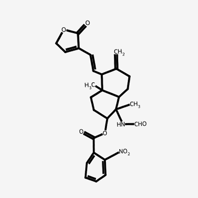 C=C1CCC2C(C)(CCC(OC(=O)c3ccccc3[N+](=O)[O-])C2(C)NC=O)C1/C=C/C1=CCOC1=O